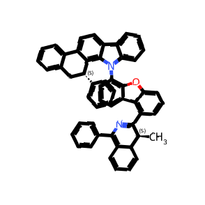 C[C@@H]1C(c2cccc3oc4c(-n5c6ccccc6c6ccc7c(c65)[C@H](c5ccccc5)Cc5ccccc5-7)cccc4c23)=NC(c2ccccc2)=C2C=CC=CC21